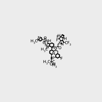 Cn1cc(S(=O)(=O)Nc2nn(C)c3c(-c4ccc(C#CC(C)(C)O)nc4[C@H](Cc4cc(F)cc(F)c4)NC(=O)Cn4nc(C(F)(F)F)c5c4C(F)(F)[C@@H]4C#C[C@H]54)cccc23)cn1